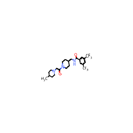 CC1CCN(CC(=O)N2CCC(CNC(=O)c3cc(C(F)(F)F)cc(C(F)(F)F)c3)CC2)CC1